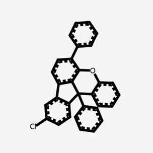 Clc1ccc2c(c1)-c1ccc(-c3ccccc3)c3c1C2(c1ccccc1)c1ccccc1O3